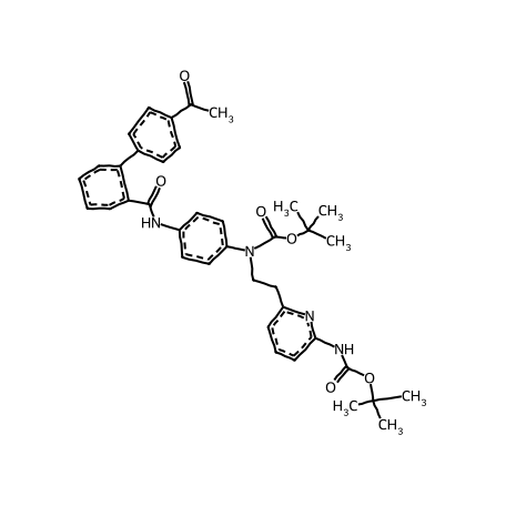 CC(=O)c1ccc(-c2ccccc2C(=O)Nc2ccc(N(CCc3cccc(NC(=O)OC(C)(C)C)n3)C(=O)OC(C)(C)C)cc2)cc1